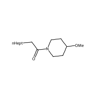 CCCCCCCCC(=O)N1CCC(OC)CC1